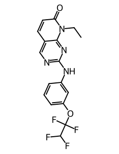 CCn1c(=O)ccc2cnc(Nc3cccc(OC(F)(F)C(F)F)c3)nc21